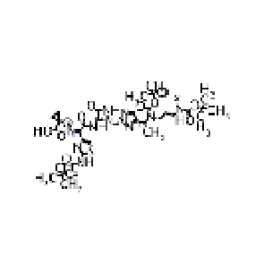 C[C@@H](c1cnn(C[C@H]2NC(=O)[C@H]2NC(=O)/C(=N\OC2(C(=O)O)CC2)c2csc(NC(=O)OC(C)(C)C)n2)n1)N(CCCNC(=O)OC(C)(C)C)C(=O)OC(C)(C)C